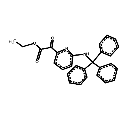 CCOC(=O)C(=O)c1cccc(NC(c2ccccc2)(c2ccccc2)c2ccccc2)n1